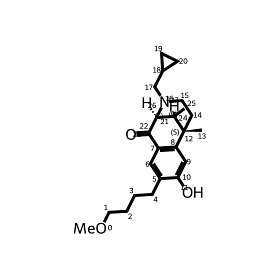 COCCCCc1cc2c(cc1O)[C@@]1(C)CCN(CC3CC3)[C@H](C2=O)[C@@H]1C